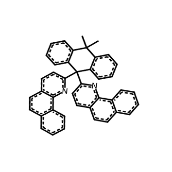 CC1(C)c2ccccc2C(c2ccc3ccc4ccccc4c3n2)(c2ccc3ccc4ccccc4c3n2)c2ccccc21